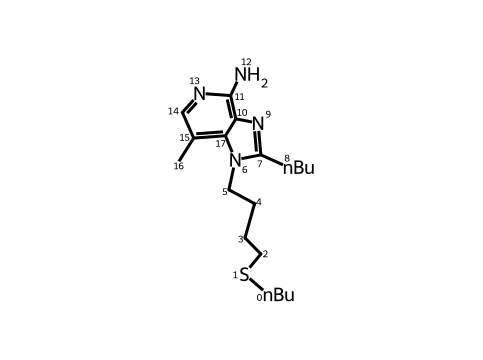 CCCCSCCCCn1c(CCCC)nc2c(N)ncc(C)c21